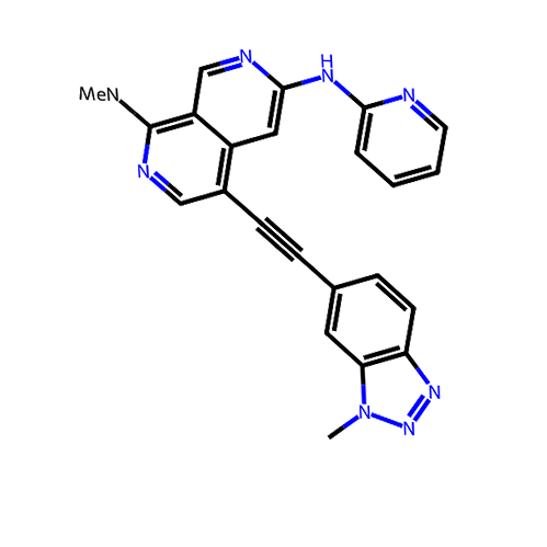 CNc1ncc(C#Cc2ccc3nnn(C)c3c2)c2cc(Nc3ccccn3)ncc12